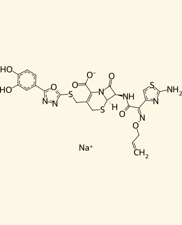 C=CCO/N=C(\C(=O)N[C@@H]1C(=O)N2C(C(=O)[O-])=C(CSc3nnc(-c4ccc(O)c(O)c4)o3)CS[C@H]12)c1csc(N)n1.[Na+]